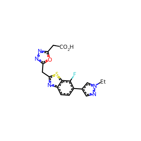 CCn1cc(-c2ccc3nc(Cc4nnc(CC(=O)O)o4)sc3c2F)cn1